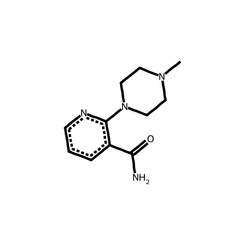 CN1CCN(c2ncccc2C(N)=O)CC1